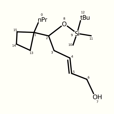 CCCC1(C(C/C=C/CO)O[Si](C)(C)C(C)(C)C)CCC1